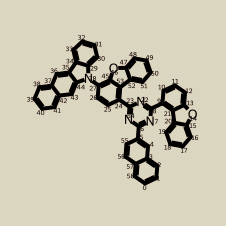 c1ccc2cc(-c3nc(-c4cccc5oc6ccccc6c45)nc(-c4ccc(-n5c6ccccc6c6cc7ccccc7cc65)c5oc6ccccc6c45)n3)ccc2c1